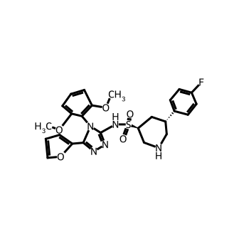 COc1cccc(OC)c1-n1c(NS(=O)(=O)[C@@H]2CNC[C@@H](c3ccc(F)cc3)C2)nnc1-c1ccco1